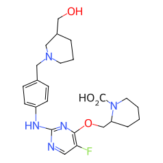 O=C(O)N1CCCCC1COc1nc(Nc2ccc(CN3CCCC(CO)C3)cc2)ncc1F